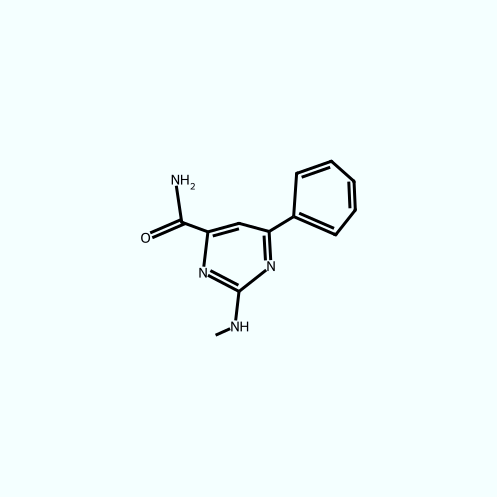 CNc1nc(C(N)=O)cc(-c2ccccc2)n1